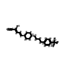 N#C/C(F)=C/C=C/[C@H]1CC[C@H](CCCCc2ccc(C(F)(F)F)cc2)CC1